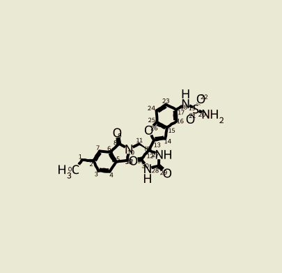 CCc1ccc2c(c1)C(=O)N(C[C@@]1(c3cc4cc(NS(N)(=O)=O)ccc4o3)NC(=O)NC1=O)C2